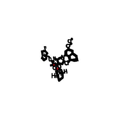 COCOc1cc(N2CCc3c(nc(OC[C@@]45CCCN4C[C@H](F)C5)nc3N3C[C@@H]4CC[C@@H](C3)N4C(=O)OC(C)(C)C)C2)c2c(Cl)cccc2c1